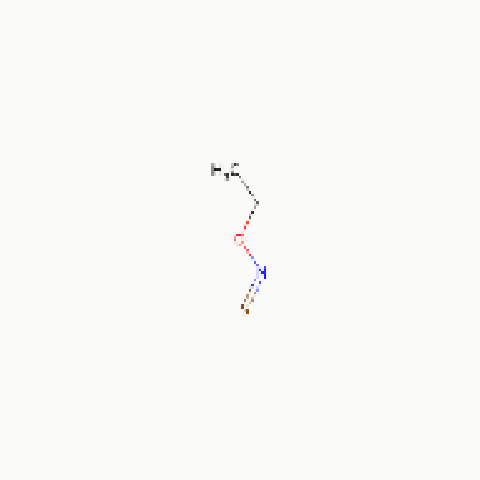 CCON=S